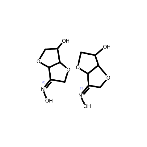 O/N=C1\COC2C(O)COC12.O/N=C1\COC2C(O)COC12